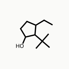 CCC1CCC(O)C1C(C)(C)C